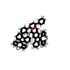 c1ccc(-c2ccc(-c3ccccc3N(c3cccc4c3-c3ccccc3C43c4ccccc4Oc4ccccc43)c3cccc4cc5c(cc34)-c3ccccc3C53c4ccccc4Sc4ccccc43)cc2)cc1